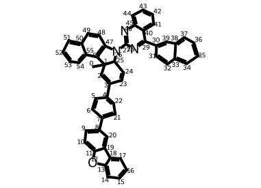 CC12C=C(c3ccc(-c4ccc5oc6ccccc6c5c4)cc3)C=CC1N(c1nc(-c3ccc4ccccc4c3)c3ccccc3n1)c1ccc3ccccc3c12